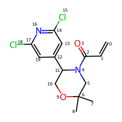 C=CC(=O)N1CC(C)(C)OCC1c1cc(Cl)nc(Cl)c1